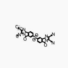 [C-]#[N+]c1nc2n(c1[N+]#[C-])C(=O)c1cc(S(=O)(=O)c3ccc4c(c3)-c3nc(C#N)c(C#N)n3C4=O)ccc1-2